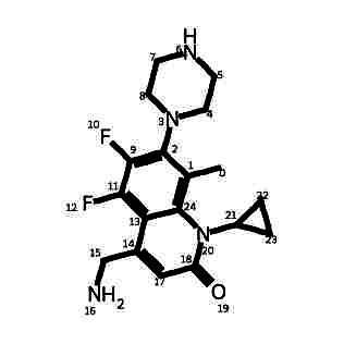 Cc1c(N2CCNCC2)c(F)c(F)c2c(CN)cc(=O)n(C3CC3)c12